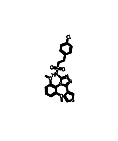 COc1cccc(OC)c1-n1c(NS(=O)(=O)CCc2ccc(Cl)cc2)nnc1-c1ccsc1